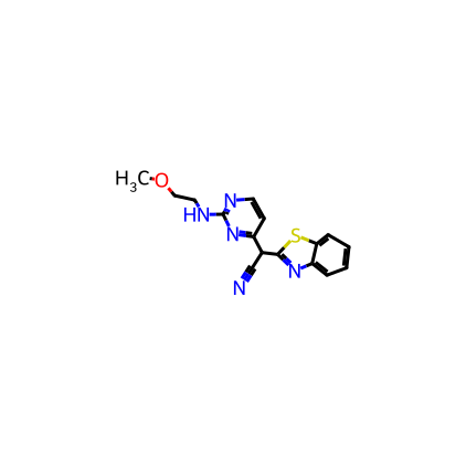 COCCNc1nccc(C(C#N)c2nc3ccccc3s2)n1